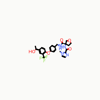 CC(O)c1ccc(Oc2ccc(CNC(=O)C3(NC(=O)c4nccn4C)CCOC3)cc2)c(C(F)(F)F)c1